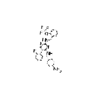 N[C@H]1CC[C@H](CNc2nc(NCc3ccccc3OC(F)(F)F)ncc2-c2ccccc2F)CC1